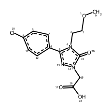 COCCn1c(-c2ccc(Cl)cc2)nn(CC(=O)O)c1=O